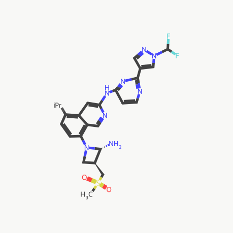 CC(C)c1ccc(N2C[C@H](CS(C)(=O)=O)[C@H]2N)c2cnc(Nc3ccnc(-c4cnn(C(F)F)c4)n3)cc12